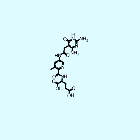 Cc1cc(NC(=O)Cc2c(N)nc(N)[nH]c2=O)cnc1C(=O)NC(CCC(=O)O)C(=O)O